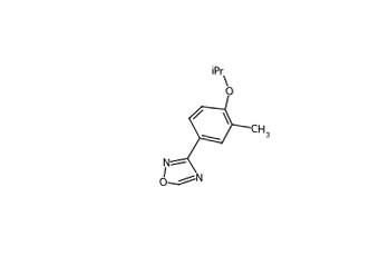 Cc1cc(-c2ncon2)ccc1OC(C)C